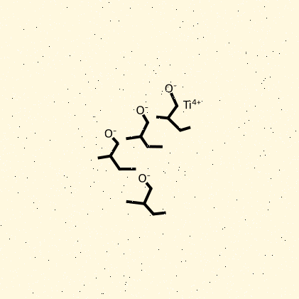 CCC(C)C[O-].CCC(C)C[O-].CCC(C)C[O-].CCC(C)C[O-].[Ti+4]